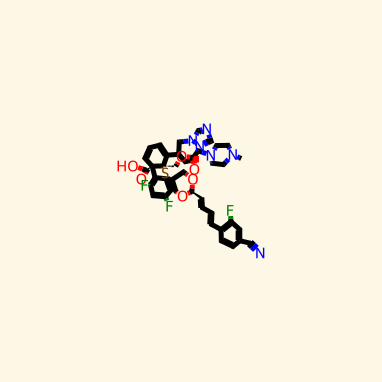 CCC(Cn1cncn1)C1=CC=C[C@](C(=O)O)(c2ccc(F)cc2F)[C@]1(COC(=O)CN1CCN(C)CC1)S[C@H]1CO[C@H](C=CC=Cc2ccc(C#N)cc2F)OC1